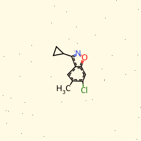 Cc1cc2c(C3CC3)noc2cc1Cl